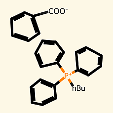 CCCC[P+](c1ccccc1)(c1ccccc1)c1ccccc1.O=C([O-])c1ccccc1